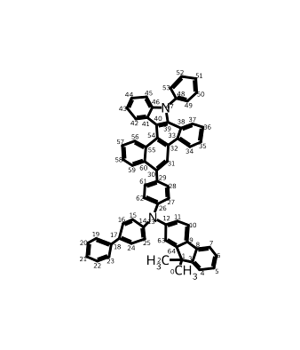 CC1(C)c2ccccc2-c2ccc(N(c3ccc(-c4ccccc4)cc3)c3ccc(-c4cc5c6ccccc6c6c(c7ccccc7n6-c6ccccc6)c5c5ccccc45)cc3)cc21